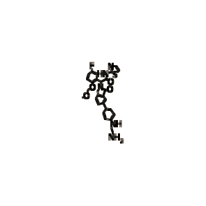 COCOc1ccc(F)cc1C(C(=O)Nc1nccs1)N1Cc2ccc(-c3ccc(NCCN)cc3)cc2C1=O